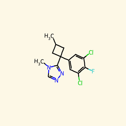 CC1CC(c2cc(Cl)c(F)c(Cl)c2)(c2nncn2C)C1